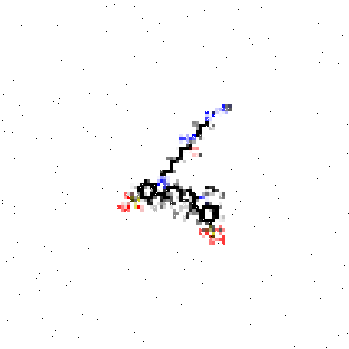 CN1/C(=C/C=C/C2=[N+](CCCCCC(=O)NCCCN=[N+]=[N-])c3ccc(S(=O)(=O)O)cc3C2(C)C)C(C)(C)c2cc(S(=O)(=O)O)ccc21